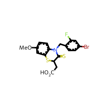 COc1ccc2c(c1)SC(CC(=O)O)C(=S)N2Cc1ccc(Br)cc1F